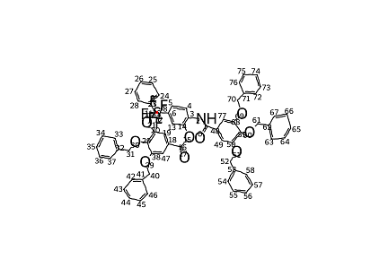 O=C(Nc1ccc(S(F)(F)(F)(F)F)cc1OC(=O)c1cc(OCc2ccccc2)c(OCc2ccccc2)c(OCc2ccccc2)c1)c1cc(OCc2ccccc2)c(OCc2ccccc2)c(OCc2ccccc2)c1